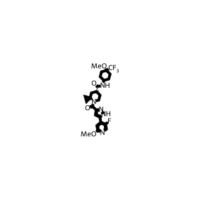 COc1cc(-c2cc(C(=O)N3CC[C@@H](C(=O)NC4CCC(OC)(C(F)(F)F)CC4)CC34CC4)n[nH]2)c(F)cn1